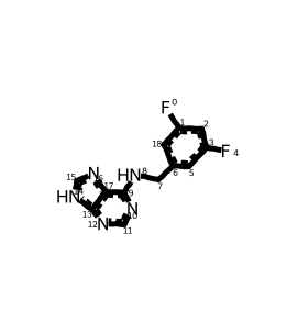 Fc1cc(F)cc(CNc2ncnc3[nH]cnc23)c1